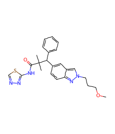 COCCCn1cc2cc(C(c3ccccc3)C(C)(C)C(=O)Nc3nncs3)ccc2n1